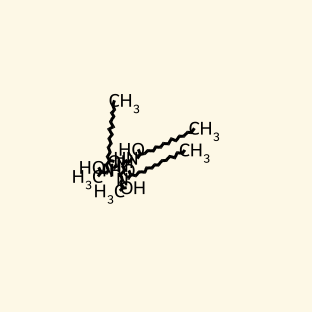 CCCCCCCCCCCCCCC(O)CNCCN(CCN(CC(C)O)CC(O)CCCCCCCCCCCCCC)CCN(CC(C)O)CC(O)CCCCCCCCCCCCCC